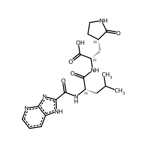 CC(C)C[C@H](NC(=O)c1nc2ncccc2[nH]1)C(=O)N[C@@H](C[C@@H]1CCNC1=O)C(=O)O